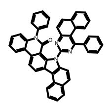 O=c1c2c(ccc3c4c5ccccc5ccc4n(-c4nc(-c5ccccc5)c5c(ccc6ccccc65)n4)c32)c2ccccc2n1-c1ccccc1